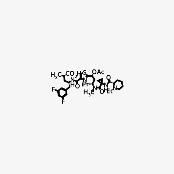 CCN1CCCC[C@@H]1C(=O)NC1(C(=O)N(C)[C@H](C[C@@H](OC(C)=O)c2nc(C(=O)N[C@@H](Cc3cc(F)cc(F)c3)C[C@H](C)C(=O)O)cs2)C(C)C)CC1